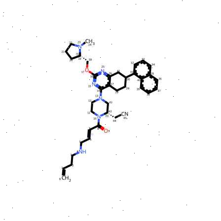 C=CCCNC/C=C/C(=O)N1CCN(c2nc(OC[C@@H]3CCCN3C)nc3c2CCC(c2cccc4ccccc24)C3)C[C@@H]1CC#N